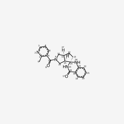 Cc1ncccc1C(=O)N1C[C@H]2CC[C@]3(NC(=O)c4ccccc4N3)[C@H]2C1